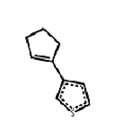 C1=C(c2ccsc2)CCC1